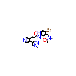 CC(=O)N(C)Cc1cc(NC(=O)C=Cc2cnccc2-c2cnn(C)c2)ccc1Br